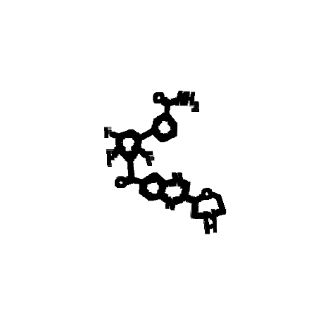 NC(=O)c1cccc(-c2cc(F)c(F)c(C(=O)c3ccc4nc(C5CNCCO5)cnc4c3)c2F)c1